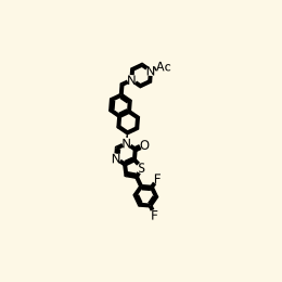 CC(=O)N1CCN(Cc2ccc3c(c2)CC[C@H](n2cnc4cc(-c5ccc(F)cc5F)sc4c2=O)C3)CC1